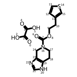 O=C(O)C(=O)O.O=C(OCCc1ccsc1)N1CCc2[nH]cnc2C1